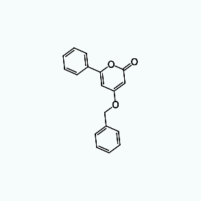 O=c1cc(OCc2ccccc2)cc(-c2ccccc2)o1